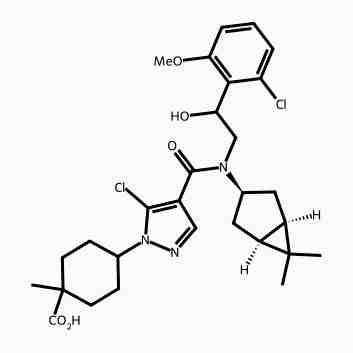 COc1cccc(Cl)c1C(O)CN(C(=O)c1cnn(C2CCC(C)(C(=O)O)CC2)c1Cl)[C@H]1C[C@@H]2[C@H](C1)C2(C)C